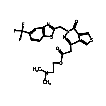 CN(C)CCOC(=O)Cc1nn(Cc2nc3cc(C(F)(F)F)ccc3s2)c(=O)c2cscc12